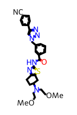 COCCN(CCOC)C1CCc2nc(NC(=O)c3cccc(Cn4cc(-c5ccc(C#N)cc5)nn4)c3)sc2C1